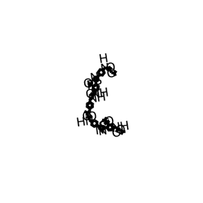 CC(C)OC(=O)Nc1ccc(-c2nnc(C3CCC(NC(=O)OC(C)Cc4ccc(CNC(=O)Nc5ccc(-c6cnc(C7CCC(NC8OC8OC(C)C)CC7)s6)c(P(C)(C)=O)c5)cc4)CC3)s2)c(S(=O)(=O)C(C)C)c1